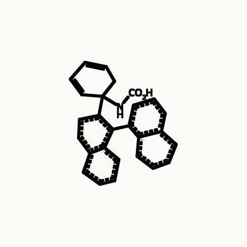 O=C(O)NC1(c2ccc3ccccc3c2-c2cccc3ccccc23)C=CC=CC1